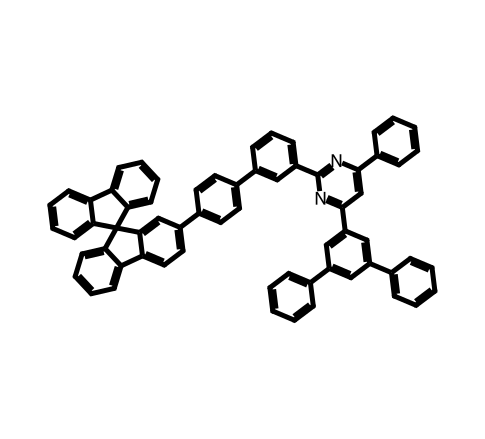 c1ccc(-c2cc(-c3ccccc3)cc(-c3cc(-c4ccccc4)nc(-c4cccc(-c5ccc(-c6ccc7c(c6)C6(c8ccccc8-c8ccccc86)c6ccccc6-7)cc5)c4)n3)c2)cc1